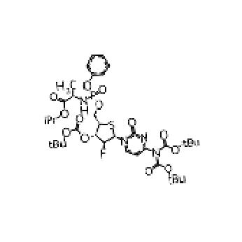 CC(C)OC(=O)C(C)NP(=O)(OC[C@H]1S[C@@H](n2ccc(N(C(=O)OC(C)(C)C)C(=O)OC(C)(C)C)nc2=O)[C@@H](F)[C@@H]1OC(=O)OC(C)(C)C)Oc1ccccc1